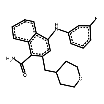 NC(=O)c1c(CC2CCOCC2)cc(Nc2cccc(F)c2)c2ccccc12